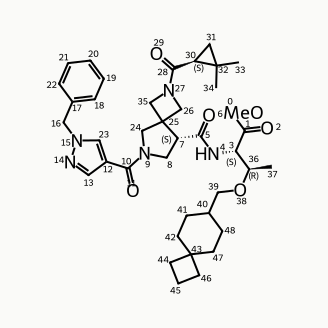 COC(=O)[C@@H](NC(=O)[C@@H]1CN(C(=O)c2cnn(Cc3ccccc3)c2)CC12CN(C(=O)[C@H]1CC1(C)C)C2)[C@@H](C)OCC1CCC2(CCC2)CC1